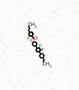 CCCCc1ccc(C(=O)OC2CCC(c3ccc(C4CCC(CCC)CC4)c(F)c3F)CC2)c(F)c1